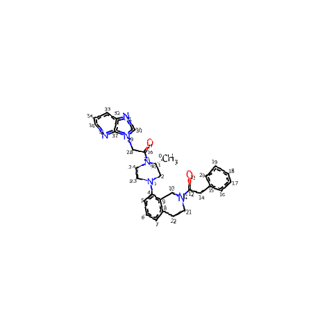 C[C@@H]1CN(c2cccc3c2CN(C(=O)Cc2ccccc2)CC3)CCN1C(=O)Cn1cnc2cccnc21